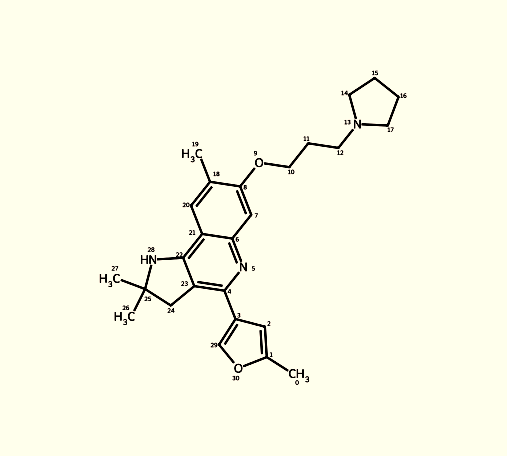 Cc1cc(-c2nc3cc(OCCCN4CCCC4)c(C)cc3c3c2CC(C)(C)N3)co1